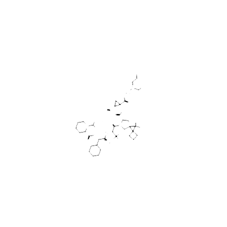 C=C[C@@H]1C[C@]1(NC(=O)[C@@H]1C[C@@]2(CN1C(=O)[C@@H](NC(=O)[C@@H](NC(=O)[C@H]1CCCCN1C(C)C)C1CCCCC1)C(C)(C)C)C(C)(C)C21CCC1)C(=O)NS(=O)(=O)N(CC)CCC